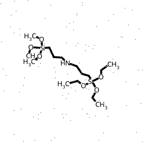 CCO[Si](CCCNCCC[Si](OC)(OC)OC)(OCC)OCC